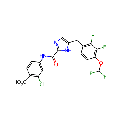 O=C(Nc1ccc(C(=O)O)c(Cl)c1)c1ncc(Cc2ccc(OC(F)F)c(F)c2F)[nH]1